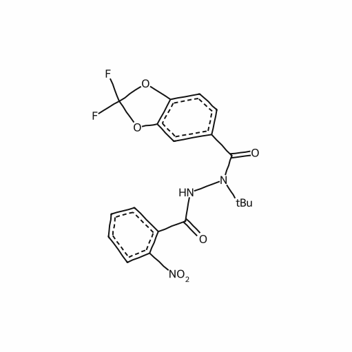 CC(C)(C)N(NC(=O)c1ccccc1[N+](=O)[O-])C(=O)c1ccc2c(c1)OC(F)(F)O2